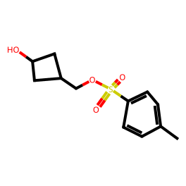 Cc1ccc(S(=O)(=O)OCC2CC(O)C2)cc1